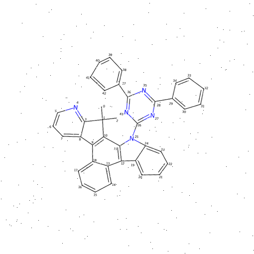 CC1(C)c2ncccc2-c2c1c1c(c3ccccc23)c2ccccc2n1-c1nc(-c2ccccc2)nc(-c2ccccc2)n1